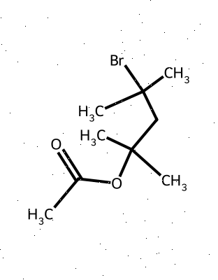 CC(=O)OC(C)(C)CC(C)(C)Br